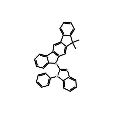 CC1(C)c2ccccc2-c2cc3c4ccccc4n(-c4nc5ccccc5n4-c4ccccc4)c3cc21